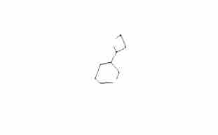 [CH]1OCCCC1C1CCO1